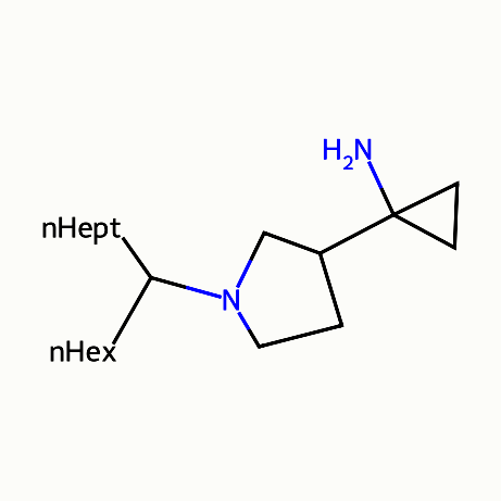 CCCCCCCC(CCCCCC)N1CCC(C2(N)CC2)C1